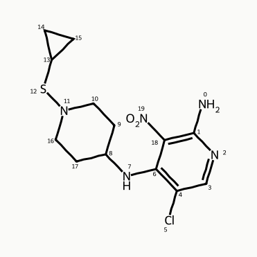 Nc1ncc(Cl)c(NC2CCN(SC3CC3)CC2)c1[N+](=O)[O-]